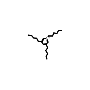 CCCCCC[n+]1cc(CCCCC)cc(CCCCC)c1